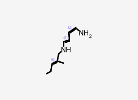 CC/C=C(\C)CN/C=C/C=C\N